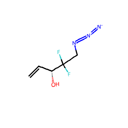 C=C[C@@H](O)C(F)(F)CN=[N+]=[N-]